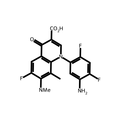 CNc1c(F)cc2c(=O)c(C(=O)O)cn(-c3cc(N)c(F)cc3F)c2c1C